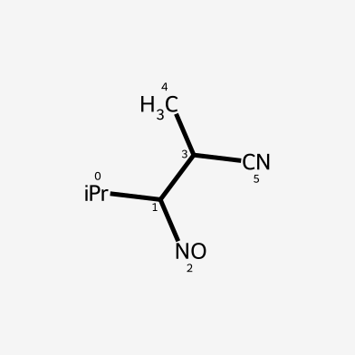 CC(C)C(N=O)C(C)C#N